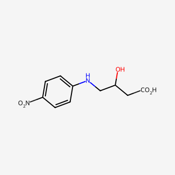 O=C(O)CC(O)CNc1ccc([N+](=O)[O-])cc1